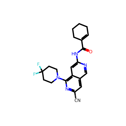 N#Cc1cc2cnc(NC(=O)C3=CCCCC3)cc2c(N2CCC(F)(F)CC2)n1